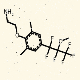 COC(F)(C(F)(F)F)C(F)(F)c1cc(C)c(OCCN)c(C)c1